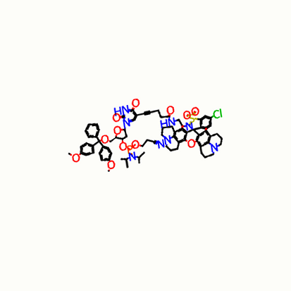 COc1ccc(C(OC[C@H]2O[C@@H](n3cc(C#CCCC(=O)NCCN4C5(c6ccc(Cl)cc6S4(=O)=O)c4cc6c7c(c4Oc4c5cc5c8c4CCCN8CCC5)CCCN7CCC6)c(=O)[nH]c3=O)C[C@H]2OP(OCCC#N)N(C(C)C)C(C)C)(c2ccccc2)c2ccc(OC)cc2)cc1